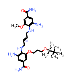 COc1cc(C(N)=O)cc(N)c1NC/C=C/CNc1c(N)cc(C(N)=O)cc1OCCCO[Si](C)(C)C(C)(C)C